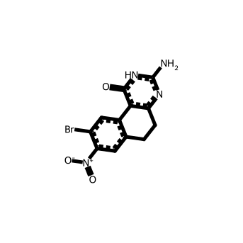 Nc1nc2c(c(=O)[nH]1)-c1cc(Br)c([N+](=O)[O-])cc1CC2